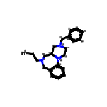 CC(C)CCN1Cc2ccccc2N2CCN(Cc3ccccc3)CC2C1